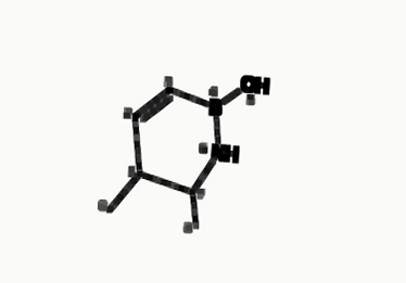 CC1C=CB(O)NC1C